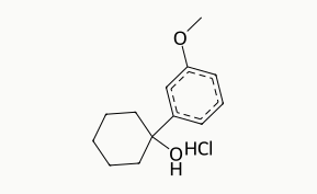 COc1cccc(C2(O)CCCCC2)c1.Cl